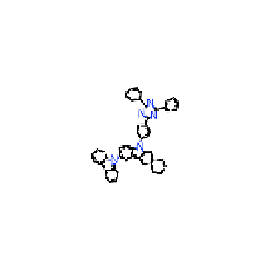 c1ccc(-c2nc(-c3ccccc3)nc(-c3ccc(-n4c5ccc(-n6c7ccccc7c7ccccc76)cc5c5cc6ccccc6cc54)cc3)n2)cc1